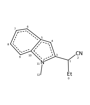 CCC(C#N)c1cc2ccccc2n1C